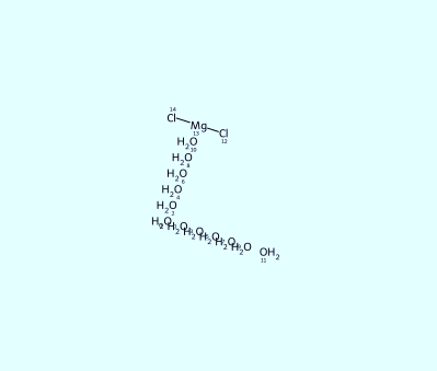 O.O.O.O.O.O.O.O.O.O.O.O.[Cl][Mg][Cl]